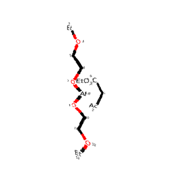 CCOC(=O)CC(C)=O.CCOCC[O][Al][O]CCOCC